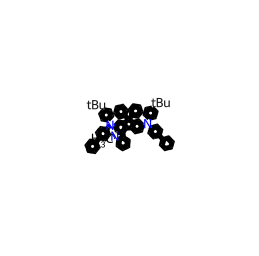 Cn1c2ccccc2c2c3c(cc(N(c4ccc(-c5ccccc5)cc4)c4ccc(C(C)(C)C)cc4)c21)C(c1ccccc1)(c1ccccc1)c1cc(N(c2ccc(C4=CCCC=C4)cc2)c2ccc(C(C)(C)C)cc2)ccc1-3